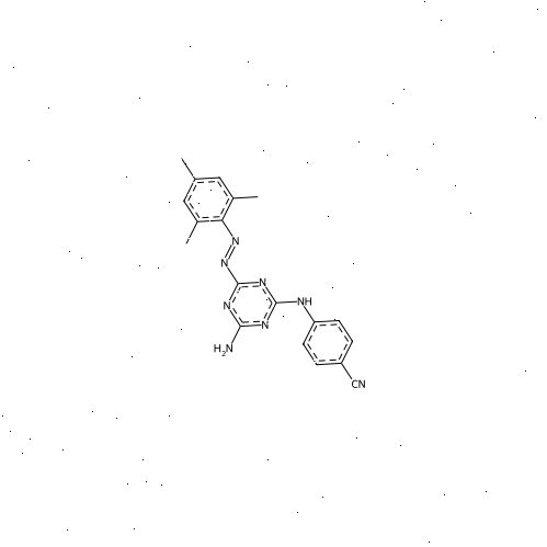 Cc1cc(C)c(N=Nc2nc(N)nc(Nc3ccc(C#N)cc3)n2)c(C)c1